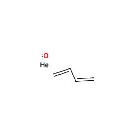 C=CC=C.[He].[O]